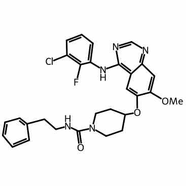 COc1cc2ncnc(Nc3cccc(Cl)c3F)c2cc1OC1CCN(C(=O)NCCc2ccccc2)CC1